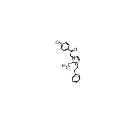 CC1N(CCc2ccccc2)C=CN1CC(=O)c1ccc(Cl)cc1